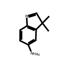 CC(=O)Nc1ccc2c(c1)C(C)(C)C=N2